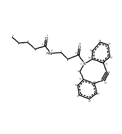 CCCCC(=O)NCCC(=O)N1Cc2ccccc2C#Cc2ccccc21